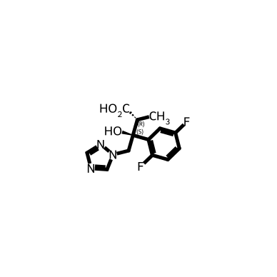 C[C@@H](C(=O)O)[C@@](O)(Cn1cncn1)c1cc(F)ccc1F